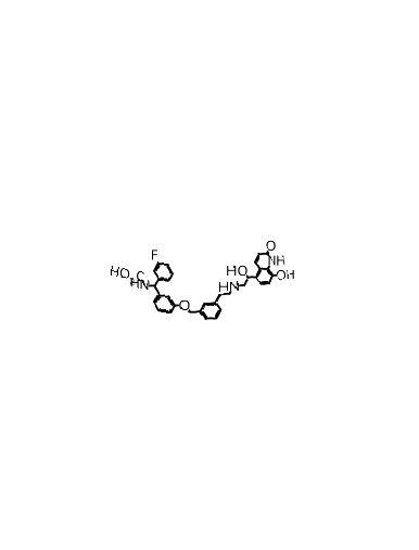 O=C(O)NC(c1cccc(F)c1)c1cccc(OCc2cccc(CCNCC(O)c3ccc(O)c4[nH]c(=O)ccc34)c2)c1